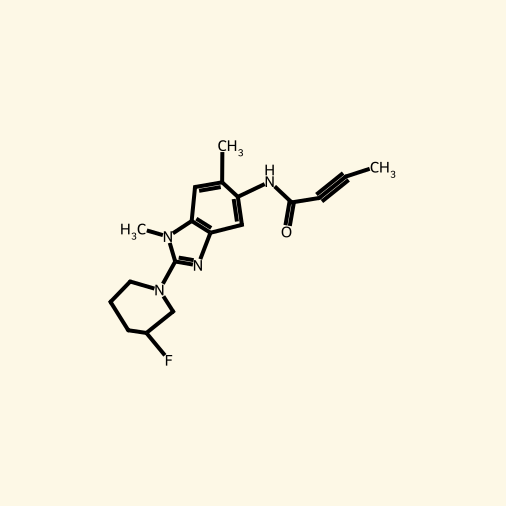 CC#CC(=O)Nc1cc2nc(N3CCCC(F)C3)n(C)c2cc1C